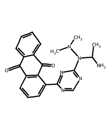 CC(N)N(c1ncnc(-c2cccc3c2C(=O)c2ccccc2C3=O)n1)N(C)C